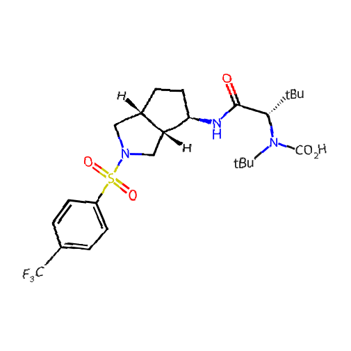 CC(C)(C)[C@@H](C(=O)N[C@@H]1CC[C@H]2CN(S(=O)(=O)c3ccc(C(F)(F)F)cc3)C[C@H]21)N(C(=O)O)C(C)(C)C